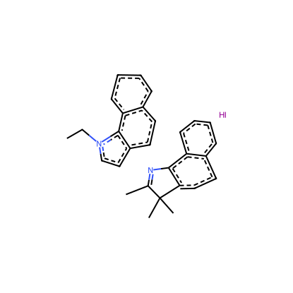 CC1=Nc2c(ccc3ccccc23)C1(C)C.CCn1ccc2ccc3ccccc3c21.I